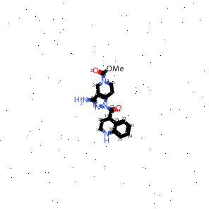 COC(=O)N1CCc2c(c(N)nn2C(=O)C2CCNc3ccccc32)C1